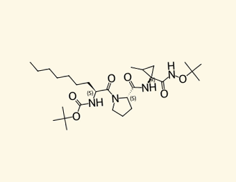 CCCCCCC[C@H](NC(=O)OC(C)(C)C)C(=O)N1CCC[C@H]1C(=O)N[C@]1(C(=O)NOC(C)(C)C)CC1C